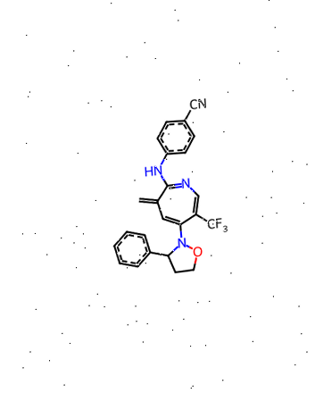 C=C1C=C(N2OCCC2c2ccccc2)C(C(F)(F)F)=CN=C1Nc1ccc(C#N)cc1